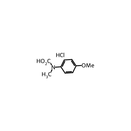 COc1ccc(N(C)C(=O)O)cc1.Cl